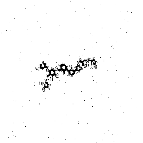 Cc1c(COc2cc(OCc3cncc(C#N)c3)c(CNC[C@H]3CCC(=O)N3)cc2Cl)cccc1-c1cccc(-c2ccn3c(=O)c(CNC[C@H]4CCC(=O)N4)cnc3c2)c1C